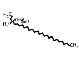 C=CC[N+](C)(C)CCCC(CCCCCCCCCCC=CCCCCCCCC)P(=O)=O